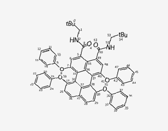 CC(C)(C)CNC(=O)c1cc(Oc2ccccc2)c2c3c(Oc4ccccc4)ccc4ccc(Oc5ccccc5)c(c5c(Oc6ccccc6)cc(C(=O)NCC(C)(C)C)c1c25)c43